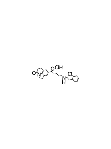 Cl.O=C(CCCCNCCc1ccccc1Cl)c1cc2c3c(c1)CCN3C(=O)CC2